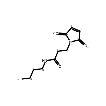 O=C(CCN1C(=O)C=CC1=O)NCCCI